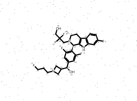 C[C@@H]1Cc2c([nH]c3cc(F)ccc23)[C@@H](c2c(F)cc([C@@H](O)C3CN(CCCF)C3)cc2F)N1CC(F)(F)CO